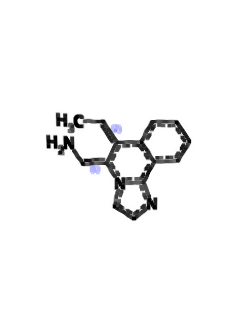 C/C=c1\c(=C/N)n2ccnc2c2ccccc12